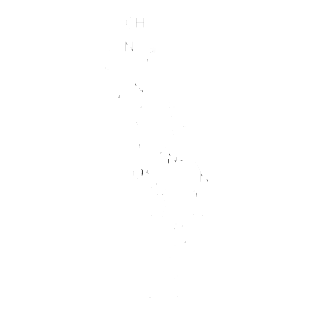 CN1CCCN(c2ccc(-n3cnc4cc(C#CC5CC5)sc4c3=O)cc2)CC1